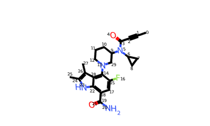 CC#CC(=O)N(C1CC1)C1CCCN(c2c(F)cc(C(N)=O)c3[nH]c(C)c(C)c23)C1